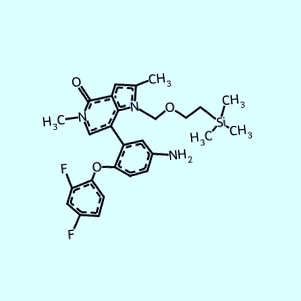 Cc1cc2c(=O)n(C)cc(-c3cc(N)ccc3Oc3ccc(F)cc3F)c2n1COCC[Si](C)(C)C